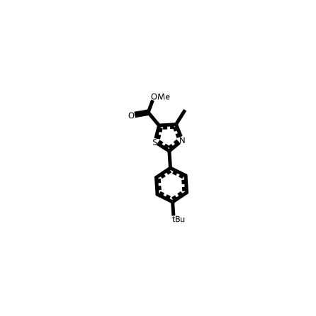 COC(=O)c1sc(-c2ccc(C(C)(C)C)cc2)nc1C